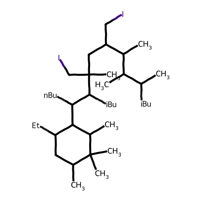 CCCCC(C1C(CC)CC(C)C(C)(C)C1C)C(C(C)CC)C(C)(CI)CC(CI)C(C)C(C)C(C)C(C)CC